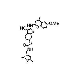 COc1cccc(C(C)CC(=O)Nc2sc3c(c2C#N)CCC(OC(=O)NCc2cc(C)nn2C)C3)c1